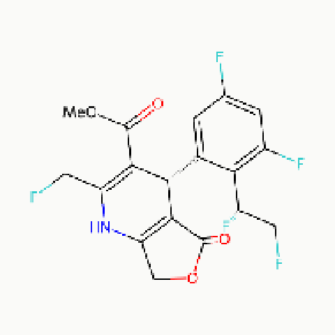 COC(=O)C1=C(CF)NC2=C(C(=O)OC2)[C@H]1c1cc(F)cc(F)c1[C@@H](F)CF